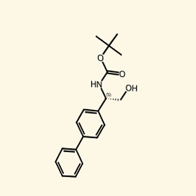 CC(C)(C)OC(=O)N[C@H](CO)c1ccc(-c2ccccc2)cc1